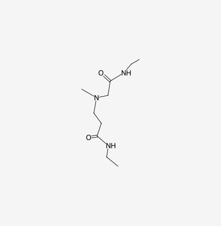 CCNC(=O)CCN(C)CC(=O)NCC